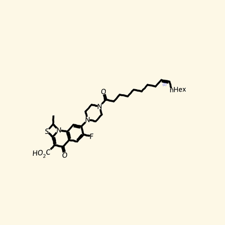 CCCCCC/C=C\CCCCCCCC(=O)N1CCN(c2cc3c(cc2F)c(=O)c(C(=O)O)c2n3C(C)S2)CC1